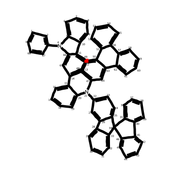 c1ccc(-n2c3ccccc3c3ccc(-c4ccccc4N(c4ccc5c(c4)-c4ccccc4C54c5ccccc5-c5ccccc54)c4ccc5c6ccccc6c6ccccc6c5c4)cc32)cc1